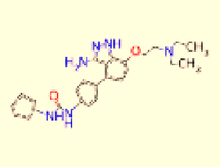 CCN(CC)CCOc1ccc(-c2ccc(NC(=O)Nc3ccccc3)cc2)c2c(N)n[nH]c12